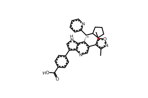 Cc1noc(C)c1-c1cnc2c(-c3ccc(C(=O)O)cc3)c[nH]c2c1[C@H](c1ccccn1)C1CCCC1